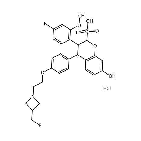 COc1cc(F)ccc1C1C(c2ccc(OCCN3CC(CF)C3)cc2)c2ccc(O)cc2OC1S(=O)(=O)O.Cl